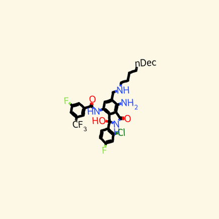 CCCCCCCCCCCCCCNCc1cc(NC(=O)c2cc(F)cc(C(F)(F)F)c2)c2c(c1N)C(=O)NC2(O)c1ccc(F)cc1Cl